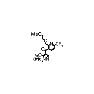 COCCOCc1nc(C(F)(F)F)ccc1C(=O)c1cnn(C)c1OS(C)(=O)=O